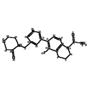 NC(=O)N1CCCc2c1ncc(-c1cncc(CN3CCOCC3=O)c1)c2F